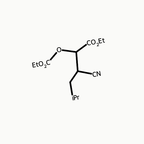 CCOC(=O)OC(C(=O)OCC)C(C#N)CC(C)C